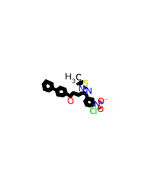 Cc1cn2c(/C=C/C(=O)c3ccc(-c4ccccc4)cc3)c(-c3ccc(Cl)c([N+](=O)[O-])c3)nc2s1